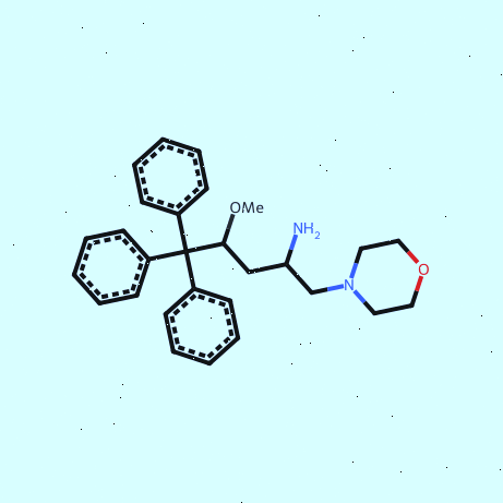 COC(CC(N)CN1CCOCC1)C(c1ccccc1)(c1ccccc1)c1ccccc1